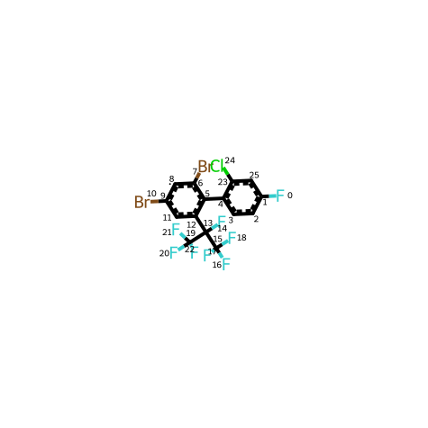 Fc1ccc(-c2c(Br)[c]c(Br)cc2C(F)(C(F)(F)F)C(F)(F)F)c(Cl)c1